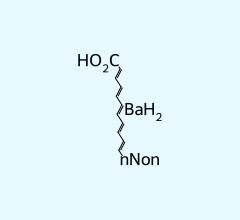 CCCCCCCCCC=CC=CC=CC=CC=CC(=O)O.[BaH2]